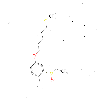 Cc1ccc(OCCCCCSC(F)(F)F)cc1[S+]([O-])CC(F)(F)F